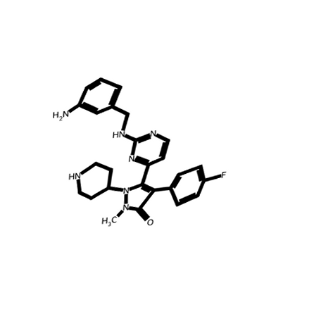 Cn1c(=O)c(-c2ccc(F)cc2)c(-c2ccnc(NCc3cccc(N)c3)n2)n1C1CCNCC1